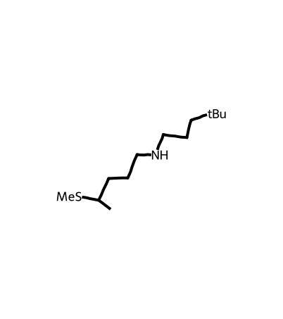 CSC(C)CCCNCCCC(C)(C)C